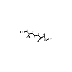 O=NNC(=O)CCCC(O)CO